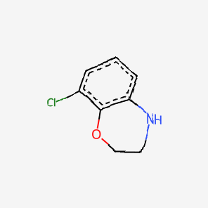 Clc1cccc2c1OCCN2